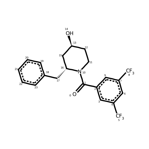 O=C(c1cc(C(F)(F)F)cc(C(F)(F)F)c1)N1CC[C@H](O)C[C@H]1Cc1ccccc1